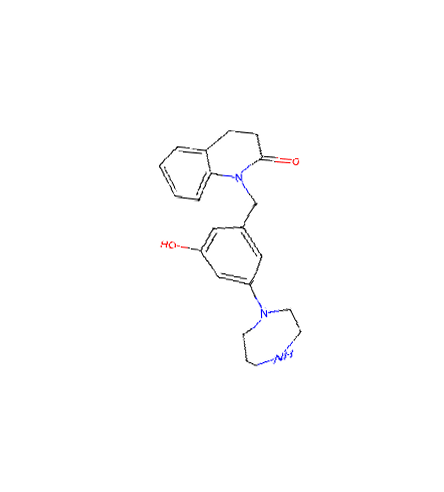 O=C1CCc2ccccc2N1Cc1cc(O)cc(N2CCNCC2)c1